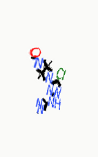 Cn1cc(Nc2ncc(Cl)c(N3C[C@]4(C)CN(C=O)C[C@]4(C)C3)n2)cn1